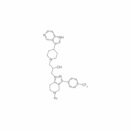 CC(=O)N1CCc2c(c(-c3ccc(C(F)(F)F)cc3)nn2CC(O)CN2CCC(c3c[nH]c4ccncc34)CC2)C1